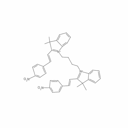 CC1(C)C(/C=C/c2ccc([N+](=O)[O-])cc2)=[N+](CCCC[N+]2=C(/C=C/c3ccc([N+](=O)[O-])cc3)C(C)(C)c3ccccc32)c2ccccc21